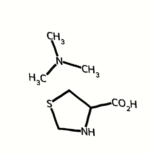 CN(C)C.O=C(O)C1CSCN1